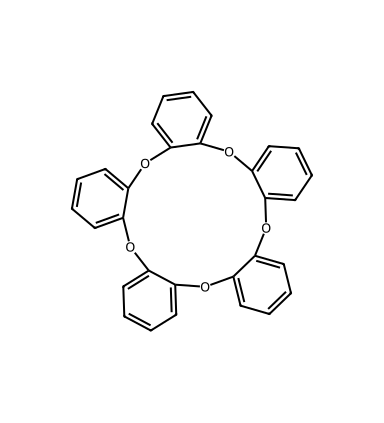 c1ccc2c(c1)Oc1ccccc1Oc1ccccc1Oc1ccccc1Oc1ccccc1O2